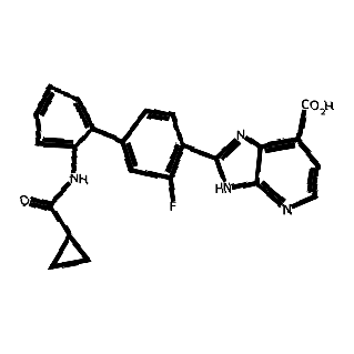 O=C(O)c1ccnc2[nH]c(-c3ccc(-c4ccccc4NC(=O)C4CC4)cc3F)nc12